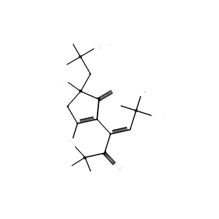 CC(=O)NC(C)(C)CC1(C)CC2=C(C1=O)/C(=C\C(C)(C)O)C(=N)C(C)(C)N2